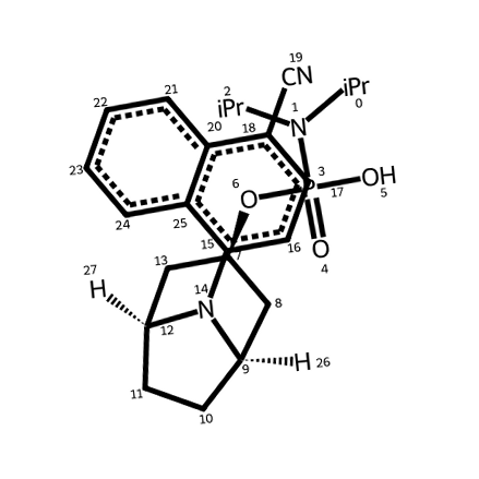 CC(C)N(C(C)C)P(=O)(O)O[C@H]1C[C@H]2CC[C@@H](C1)N2c1ccc(C#N)c2ccccc12